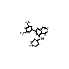 N#Cc1cc(-c2cc(NC3CCNCC3)c3cnccc3c2)cc(C(F)(F)F)c1